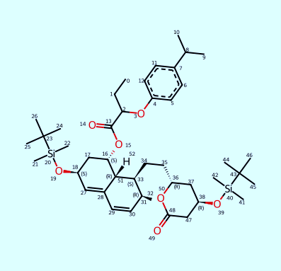 CCC(Oc1ccc(C(C)C)cc1)C(=O)O[C@H]1C[C@H](O[Si](C)(C)C(C)(C)C)C=C2C=C[C@H](C)[C@H](CC[C@@H]3C[C@@H](O[Si](C)(C)C(C)(C)C)CC(=O)O3)[C@H]21